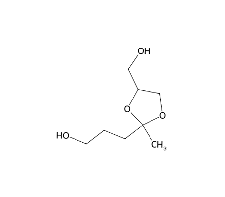 CC1(CCCO)OCC(CO)O1